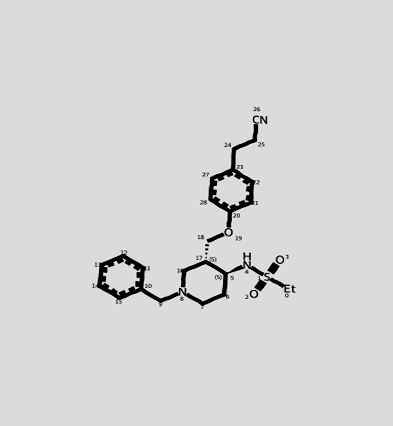 CCS(=O)(=O)N[C@H]1CCN(Cc2ccccc2)C[C@@H]1COc1ccc(CCC#N)cc1